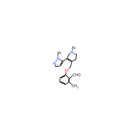 CC(=O)N1CCC(COc2cccc(C)c2C=O)=C(c2ccnn2C(C)C)C1